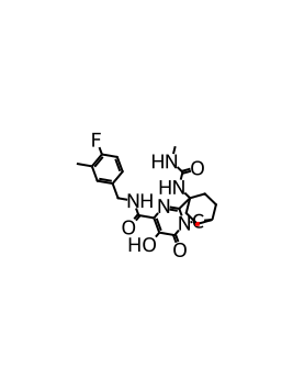 CNC(=O)NC12CCC(CC1)Cn1c2nc(C(=O)NCc2ccc(F)c(C)c2)c(O)c1=O